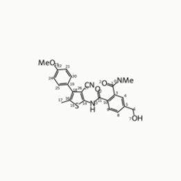 CNC(=O)c1cc(CO)ccc1C(=O)Nc1sc(C)c(-c2ccc(OC)cc2)c1C#N